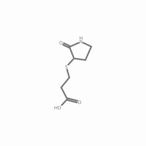 O=C(O)CCSC1CCNC1=O